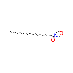 C=CCCCCCCCCCCCCCCCC(=O)N1CCOCC1